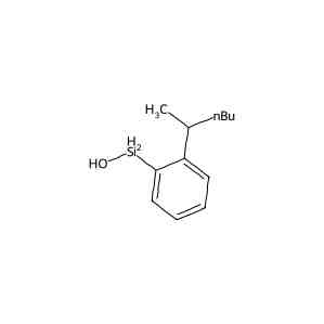 CCCCC(C)c1ccccc1[SiH2]O